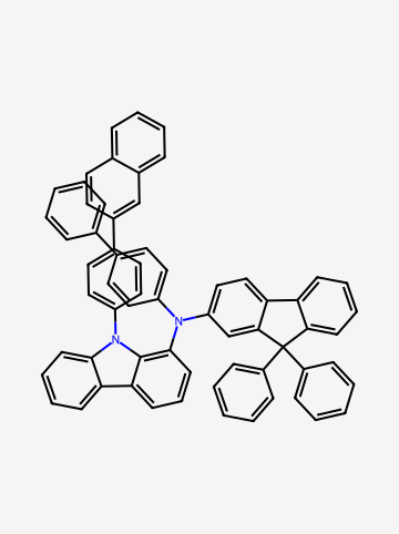 c1ccc(-c2ccc(N(c3ccc4c(c3)C(c3ccccc3)(c3ccccc3)c3ccccc3-4)c3cccc4c5ccccc5n(-c5ccc(-c6ccc7ccccc7c6)cc5)c34)cc2)cc1